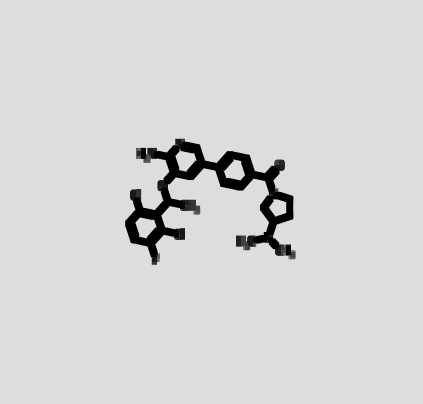 CC(Oc1cc(-c2ccc(C(=O)N3CCC(N(C)C)C3)cc2)cnc1N)c1c(Cl)ccc(F)c1Cl